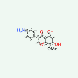 COc1c(O)cc(O)c2c(=O)c(-c3ccc(N)cc3)coc12